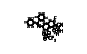 [2H]C([2H])([2H])Oc1c(C#N)c(F)cc2cc(N=C(c3ccccc3)c3ccccc3)cc(OS(=O)(=O)C(F)(F)F)c12